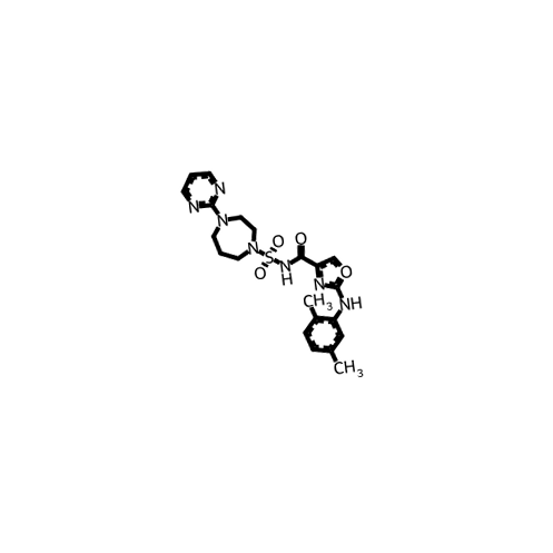 Cc1ccc(C)c(Nc2nc(C(=O)NS(=O)(=O)N3CCCN(c4ncccn4)CC3)co2)c1